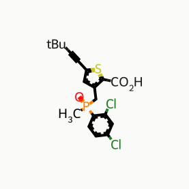 CC(C)(C)C#Cc1cc(CP(C)(=O)c2ccc(Cl)cc2Cl)c(C(=O)O)s1